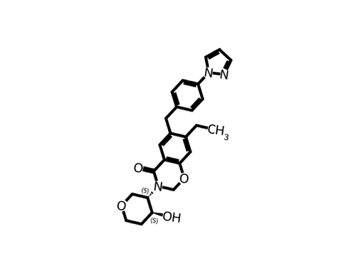 CCc1cc2c(cc1Cc1ccc(-n3cccn3)cc1)C(=O)N([C@H]1COCC[C@@H]1O)CO2